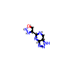 c1onnc1-c1ncc2[nH]nnc2n1